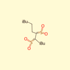 CCC(C)CCC(C(C(C)CC)=S(=O)=O)=S(=O)=O